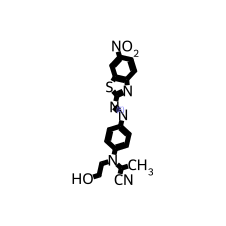 CC(C#N)N(CCO)c1ccc(/N=N/c2nc3ccc([N+](=O)[O-])cc3s2)cc1